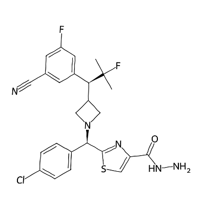 CC(C)(F)[C@H](c1cc(F)cc(C#N)c1)C1CN([C@H](c2ccc(Cl)cc2)c2nc(C(=O)NN)cs2)C1